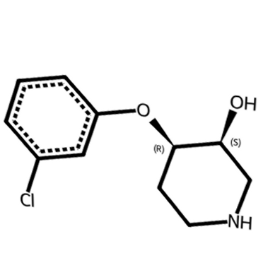 O[C@H]1CNCC[C@H]1Oc1cccc(Cl)c1